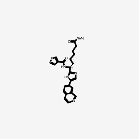 CNC(=O)CCCCC[C@H](NC(=O)c1cnsc1)c1ncc(-c2ccc3ccncc3c2)[nH]1